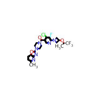 Cc1ccc2oc(N3CCN(C(=O)c4cnc(N5CC(O[C@@H](C)C(F)(F)F)C5)c(F)c4Cl)CC3)nc2n1